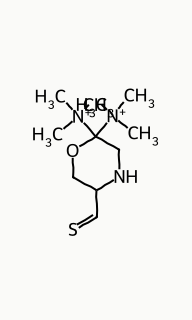 C[N+](C)(C)C1([N+](C)(C)C)CNC(C=S)CO1